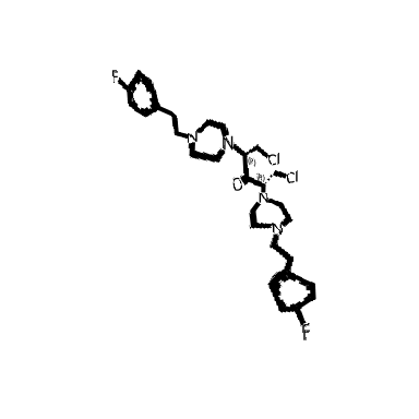 O=C([C@H](CCl)N1CCN(CCc2ccc(F)cc2)CC1)[C@H](CCl)N1CCN(CCc2ccc(F)cc2)CC1